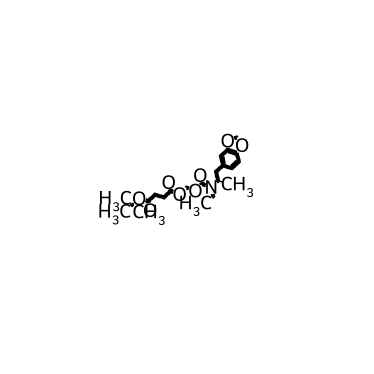 CCN(C(=O)OCOC(=O)CCC(=O)OC(C)(C)C)[C@@H](C)Cc1ccc2c(c1)OCO2